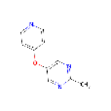 Cc1ncc(Oc2ccncc2)cn1